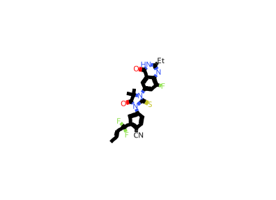 C/C=C/C(F)(F)c1cc(N2C(=O)C(C)(C)N(c3cc(F)c4nc(CC)[nH]c(=O)c4c3)C2=S)ccc1C#N